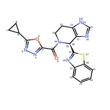 O=C(c1nnc(C2CC2)o1)N1CCc2[nH]cnc2[C@H]1c1nc2ccccc2s1